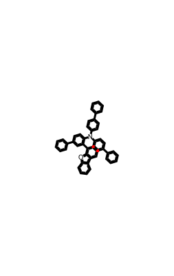 c1ccc(-c2ccc(N(c3ccc(-c4ccccc4)cc3)c3ccc(-c4ccccc4)cc3-c3cccc4c3oc3ccccc34)cc2)cc1